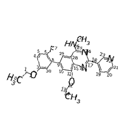 CCOc1ccc(F)c(-c2cc(OCC)c3nc(-c4cccnc4)nc(NC)c3c2)c1